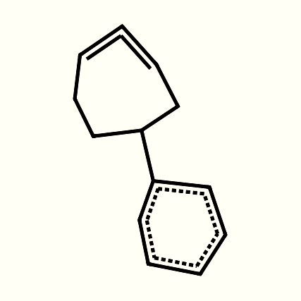 C1=CCCC(c2ccccc2)CC=1